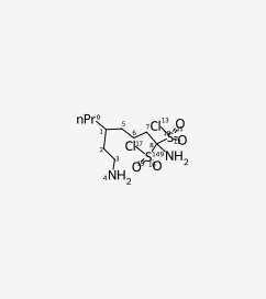 CCCC(CCN)CCCC(N)(S(=O)(=O)Cl)S(=O)(=O)Cl